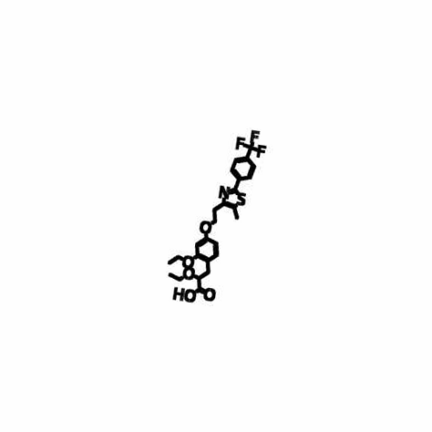 CCOc1cc(OCCc2nc(-c3ccc(C(F)(F)F)cc3)sc2C)ccc1CC(OCC)C(=O)O